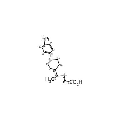 CCCc1ccc([C@H]2CC[C@H](C(C)/C=C/C(=O)O)CC2)cc1